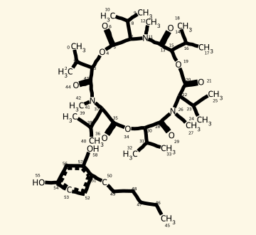 CC(C)C1OC(=O)C(C(C)C)N(C)C(=O)C(C(C)C)OC(=O)C(C(C)C)N(C)C(=O)C(C(C)C)OC(=O)C(C(C)C)N(C)C1=O.CCCCCCc1ccc(O)cc1O